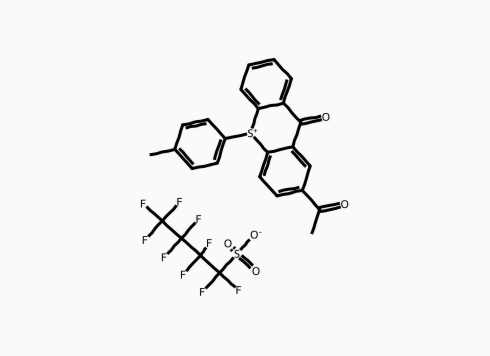 CC(=O)c1ccc2c(c1)c(=O)c1ccccc1[s+]2-c1ccc(C)cc1.O=S(=O)([O-])C(F)(F)C(F)(F)C(F)(F)C(F)(F)F